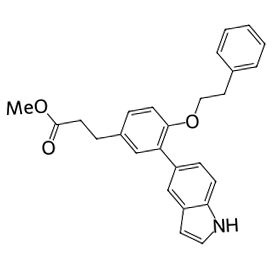 COC(=O)CCc1ccc(OCCc2ccccc2)c(-c2ccc3[nH]ccc3c2)c1